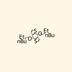 CCCCC(CC)COC1c2ccsc2C(OCC(CC)CCCC)c2ccsc21